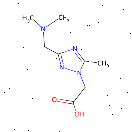 Cc1nc(CN(C)C)nn1CC(=O)O